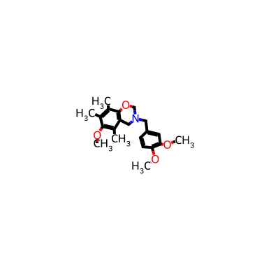 COc1ccc(CN2COc3c(C)c(C)c(OC)c(C)c3C2)cc1OC